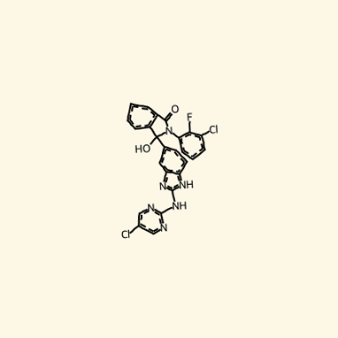 O=C1c2ccccc2C(O)(c2ccc3[nH]c(Nc4ncc(Cl)cn4)nc3c2)N1c1cccc(Cl)c1F